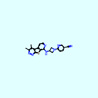 Cc1nnc2sc3c(NC4CN(c5ccc(C#N)cn5)C4)nccc3c2c1C